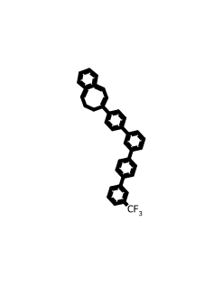 FC(F)(F)c1cccc(-c2ccc(-c3cccc(-c4ccc(/C5=C/C=c6/cccc/c6=C/CC5)cc4)c3)cc2)c1